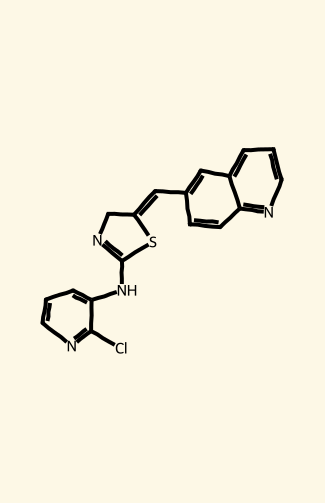 Clc1ncccc1NC1=NC/C(=C/c2ccc3ncccc3c2)S1